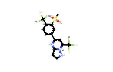 CS(=O)(=O)c1cc(-c2cc(C(F)(F)F)n3nccc3n2)ccc1C(F)(F)F